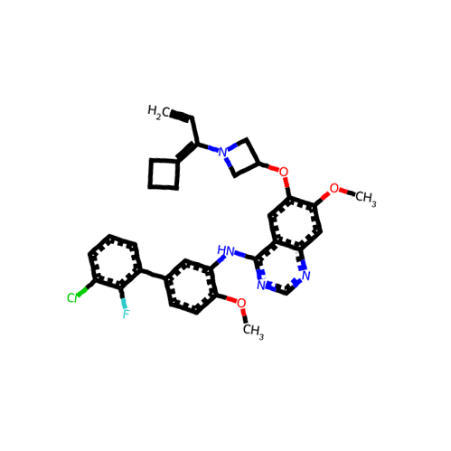 C=CC(=C1CCC1)N1CC(Oc2cc3c(Nc4cc(-c5cccc(Cl)c5F)ccc4OC)ncnc3cc2OC)C1